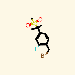 CC(C)(c1ccc(CBr)c(F)c1)S(C)(=O)=O